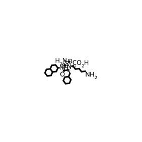 NCCCC[C@@H](C(=O)O)N([C@@H](CC1CCCCC1)C(=O)NC1CCC2CCCCC2C1)S(N)(=O)=O